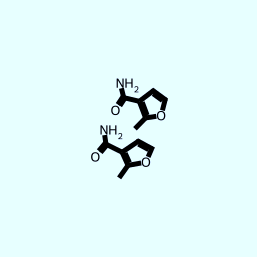 Cc1occc1C(N)=O.Cc1occc1C(N)=O